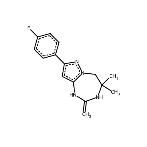 C=C1Nc2cc(-c3ccc(F)cc3)nn2CC(C)(C)N1